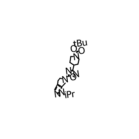 CC(C)n1ncc2c1CN(c1nc(C3CCN(C(=O)OC(C)(C)C)CC3)no1)CC2